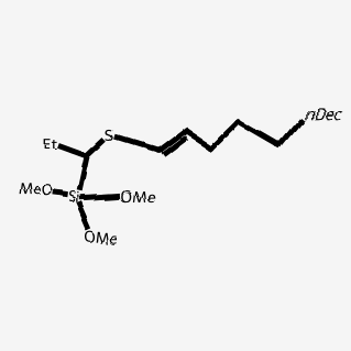 CCCCCCCCCCCCCC=CSC(CC)[Si](OC)(OC)OC